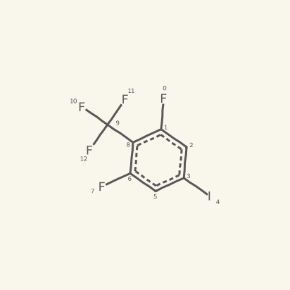 Fc1cc(I)cc(F)c1C(F)(F)F